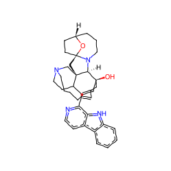 O[C@]12C=C(c3nccc4c3[nH]c3ccccc34)C3CCN(CCCC/C=C/CC1)C[C@@]31C[C@]34CC[C@H](CCCN3[C@H]12)O4